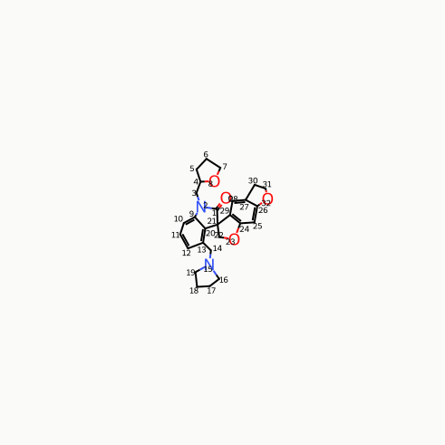 O=C1N(CC2CCCO2)c2cccc(CN3CCCC3)c2C12COc1cc3c(cc12)CCO3